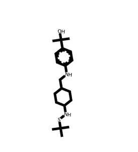 CC(C)(C)SNC1CCC(CNc2ccc(C(C)(C)O)cc2)CC1